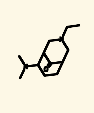 CCN1CC2CCC(N(C)C)C(C1)C2=O